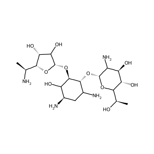 C[C@H](N)[C@H]1O[C@@H](O[C@@H]2C(O)[C@H](N)CC(N)[C@H]2O[C@H]2OC([C@@H](C)O)[C@@H](O)[C@H](O)C2N)C(O)[C@H]1O